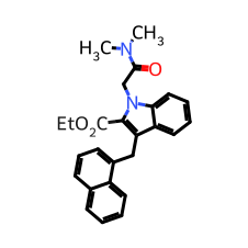 CCOC(=O)c1c(Cc2cccc3ccccc23)c2ccccc2n1CC(=O)N(C)C